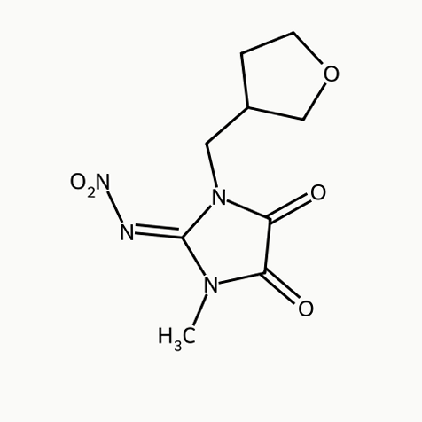 CN1C(=O)C(=O)N(CC2CCOC2)C1=N[N+](=O)[O-]